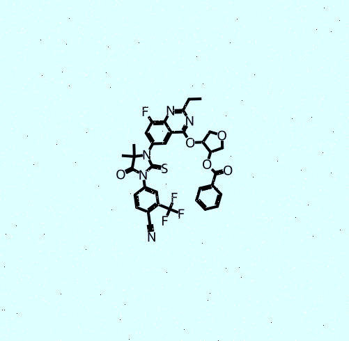 CCc1nc(OC2COCC2OC(=O)c2ccccc2)c2cc(N3C(=S)N(c4ccc(C#N)c(C(F)(F)F)c4)C(=O)C3(C)C)cc(F)c2n1